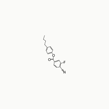 CCCCc1ccc(OC(=O)c2ccc(C#N)c(F)c2)cc1